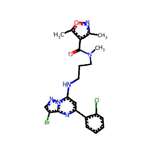 Cc1noc(C)c1C(=O)N(C)CCCNc1cc(-c2ccccc2Cl)nc2c(Br)cnn12